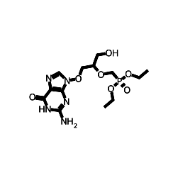 CCOP(=O)(COC(CO)COn1cnc2c(=O)[nH]c(N)nc21)OCC